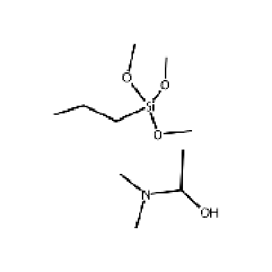 CC(O)N(C)C.CCC[Si](OC)(OC)OC